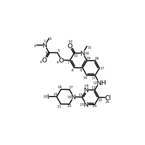 CN(C)C(=O)COc1cc2cc(Nc3nc(N4CCC(I)CC4)ncc3Cl)ccc2n(C)c1=O